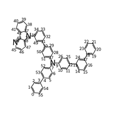 c1ccc(-c2ccc(N(c3ccc(-c4cccc(-c5ccccc5)c4)cc3)c3ccc(-c4cccc(-n5c6ccccc6c6ncccc65)c4)cc3)cc2)cc1